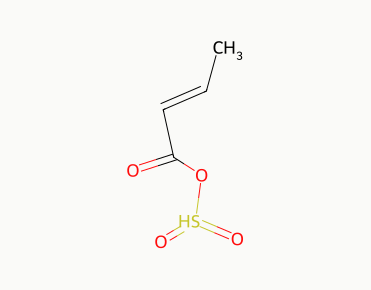 CC=CC(=O)O[SH](=O)=O